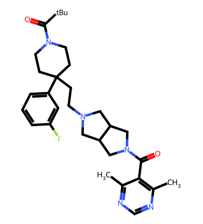 Cc1ncnc(C)c1C(=O)N1CC2CN(CCC3(c4cccc(F)c4)CCN(C(=O)C(C)(C)C)CC3)CC2C1